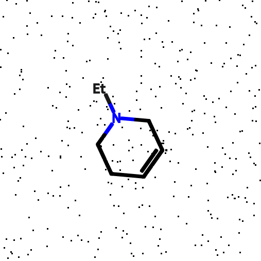 CCN1C[C]=CCC1